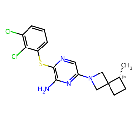 C[C@@H]1CCC12CN(c1cnc(Sc3cccc(Cl)c3Cl)c(N)n1)C2